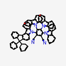 N#Cc1c(C#N)c(-n2c3ccccc3c3c4c(ccc32)C(c2ccccc2)(C2C=CC=CC2)c2ccccc2-4)c(-n2c3ccccc3c3ccccc32)c(-n2c3ccccc3c3ccccc32)c1-n1c2ccccc2c2ccccc21